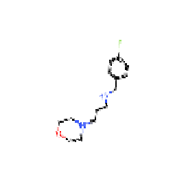 Fc1ccc(CNCCCN2CCOCC2)cc1